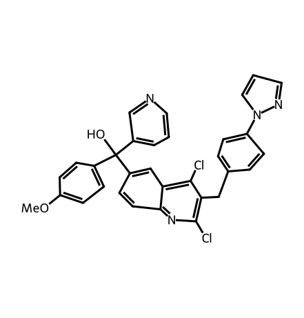 COc1ccc(C(O)(c2cccnc2)c2ccc3nc(Cl)c(Cc4ccc(-n5cccn5)cc4)c(Cl)c3c2)cc1